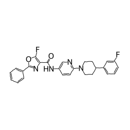 O=C(Nc1ccc(N2CCC(c3cccc(F)c3)CC2)nc1)c1nc(-c2ccccc2)oc1F